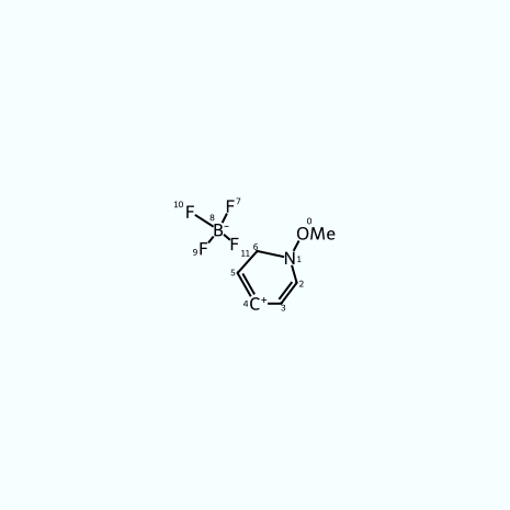 CON1C=C[C+]=CC1.F[B-](F)(F)F